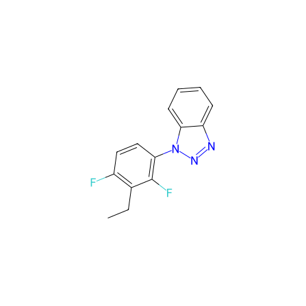 CCc1c(F)ccc(-n2nnc3ccccc32)c1F